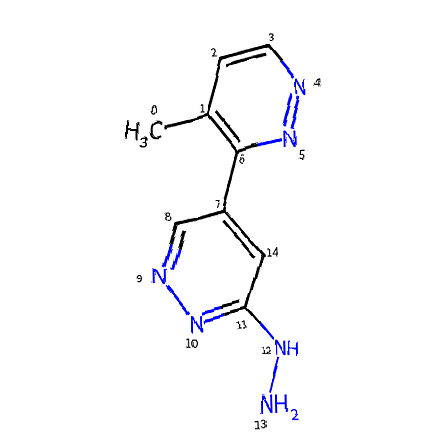 Cc1ccnnc1-c1cnnc(NN)c1